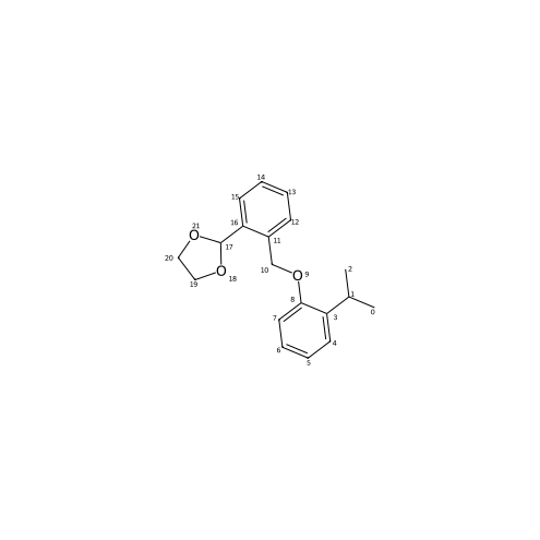 CC(C)c1ccccc1OCc1ccccc1C1OCCO1